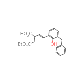 CCOC(=O)CC(C=Cc1cccc(Cc2ccccc2)c1O)C(=O)O